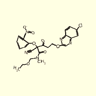 CCOCN(C)C(=O)C(C#N)(Oc1ccccc1[N+](=O)[O-])C(=O)CCOc1cnc2cc(Cl)ccc2n1